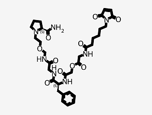 NC(=O)[C@@H]1CCCN1CCOCNC(=O)CNC(=O)[C@H](Cc1ccccc1)NC(=O)COC(=O)CNC(=O)CCCCCN1C(=O)C=CC1=O